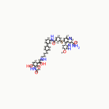 COc1cccc(Nc2c(C(N)=O)cnc3c(C)cc(Sc4cccc(C(=O)Nc5cccc(-c6ccc(CCCCNC[C@H](O)c7ccc(O)c8c7OCC(=O)N8)cc6)c5)c4)cc23)c1